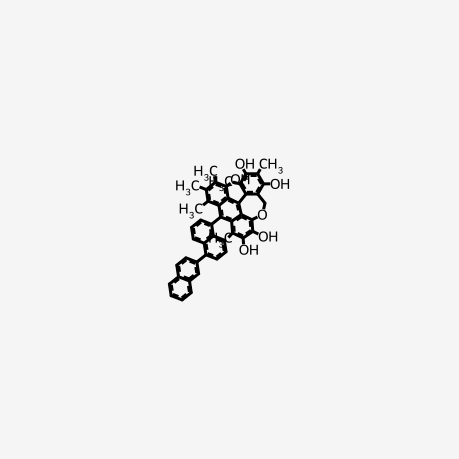 Cc1c(O)c(C)c2c(c1O)COc1c(O)c(O)c(C)c3c(-c4cccc5c(-c6ccc7ccccc7c6)cccc45)c4c(C)c(C)c(C)c(O)c4c-2c13